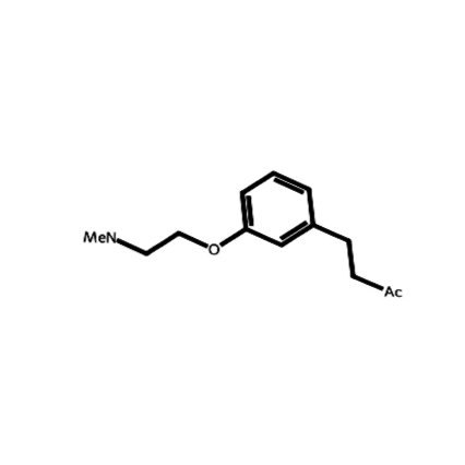 CNCCOc1cccc(CCC(C)=O)c1